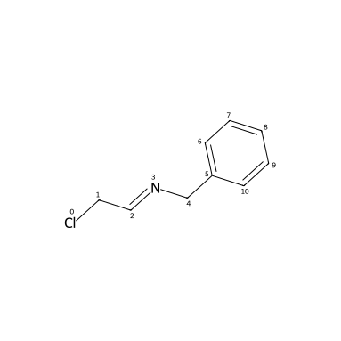 ClC/C=N/Cc1ccccc1